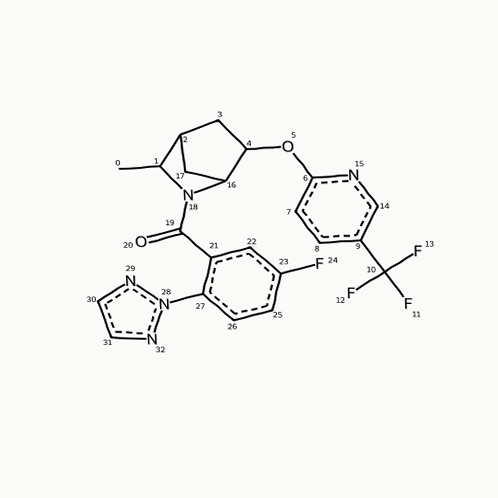 CC1C2CC(Oc3ccc(C(F)(F)F)cn3)C(C2)N1C(=O)c1cc(F)ccc1-n1nccn1